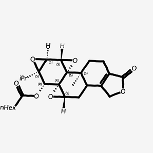 CCCCCCC(=O)O[C@@H]1[C@@]2(C(C)C)O[C@H]2[C@@H]2O[C@]23[C@]12O[C@H]2CC1C2=C(CC[C@@]13C)C(=O)OC2